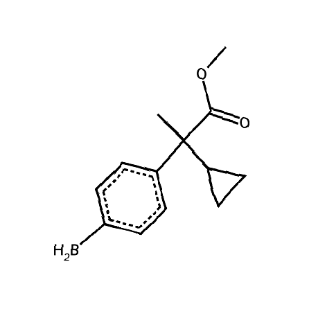 Bc1ccc(C(C)(C(=O)OC)C2CC2)cc1